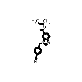 CCC(C)OC(=O)c1ccc2ncn(Cc3ccc(C#N)cc3)c2c1